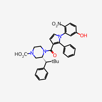 CC(C)(C)C(c1ccccc1)[C@@H]1CN(C(=O)O)CCN1C(=O)c1ccn(-c2cc(O)ccc2[N+](=O)[O-])c1-c1ccccc1